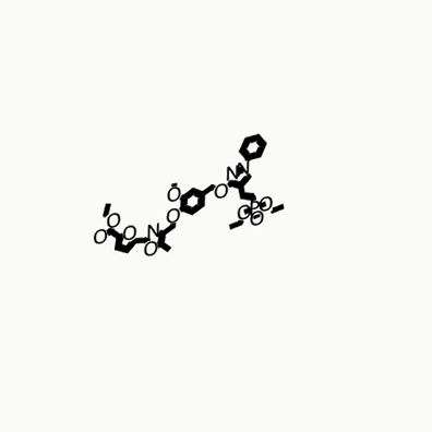 CCOC(=O)c1ccc(-c2nc(COc3ccc(COc4nn(-c5ccccc5)cc4/C=C/P(=O)(OCC)OCC)cc3OC)c(C)o2)o1